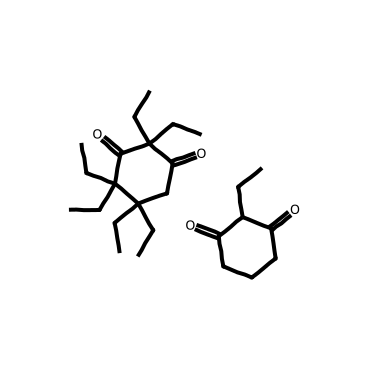 CCC1(CC)C(=O)CC(CC)(CC)C(CC)(CC)C1=O.CCC1C(=O)CCCC1=O